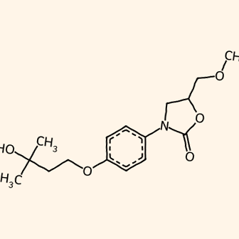 COCC1CN(c2ccc(OCCC(C)(C)O)cc2)C(=O)O1